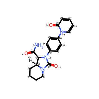 NC(=O)C1[C@H]2[CH]CCCN2C(=O)N1c1ccc(-n2ccccc2=O)cc1